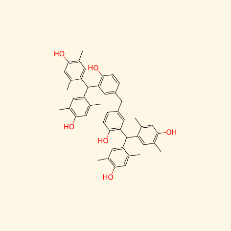 Cc1cc(C(c2cc(C)c(O)cc2C)c2cc(Cc3ccc(O)c(C(c4cc(C)c(O)cc4C)c4cc(C)c(O)cc4C)c3)ccc2O)c(C)cc1O